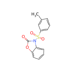 Cc1cccc(S(=O)(=O)n2c(=O)oc3ccccc32)c1